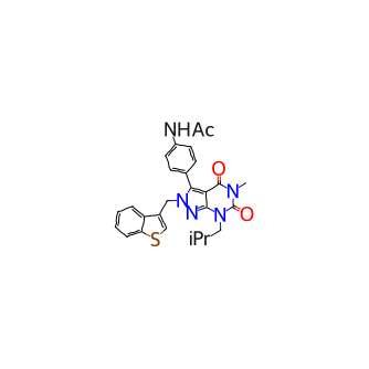 CC(=O)Nc1ccc(-c2c3c(=O)n(C)c(=O)n(CC(C)C)c3nn2Cc2csc3ccccc23)cc1